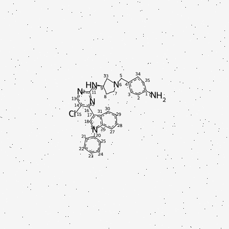 Nc1ccc(CN2CC[C@@H](Nc3ncc(Cl)c(-c4cn(-c5ccccc5)c5ccccc45)n3)C2)cc1